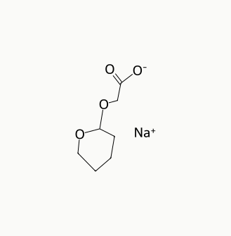 O=C([O-])COC1CCCCO1.[Na+]